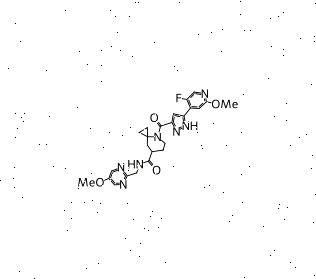 COc1cnc(CNC(=O)C2CCN(C(=O)c3cc(-c4cc(OC)ncc4F)[nH]n3)C3(CC3)C2)nc1